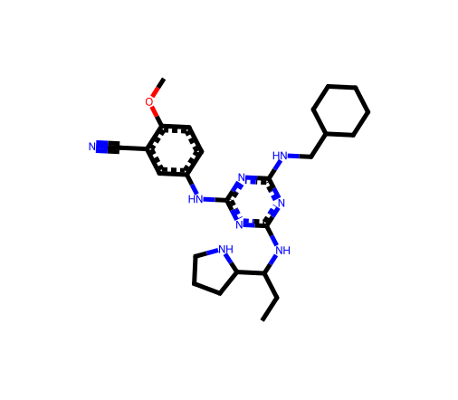 CCC(Nc1nc(NCC2CCCCC2)nc(Nc2ccc(OC)c(C#N)c2)n1)C1CCCN1